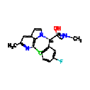 CNC[C@@H](O)[C@H](c1cccc(F)c1)n1ccc2cc(C)nc(Cl)c21